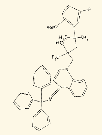 COc1ccc(F)cc1C(C)(C)CC(O)(Cn1ccc(=NC(c2ccccc2)(c2ccccc2)c2ccccc2)c2ccccc21)C(F)(F)F